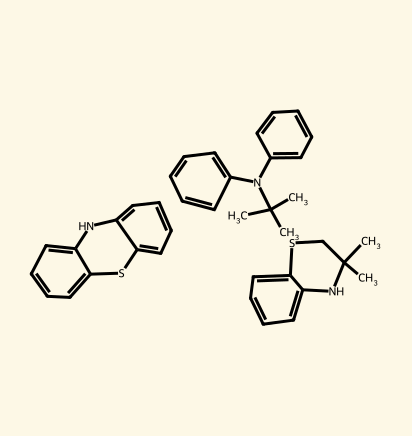 CC(C)(C)N(c1ccccc1)c1ccccc1.CC1(C)CSc2ccccc2N1.c1ccc2c(c1)Nc1ccccc1S2